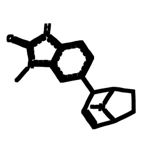 CN1C2C=CC(c3ccc4[nH]c(=O)n(C)c4c3)C1CC2